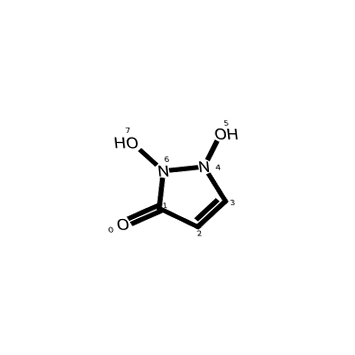 O=c1ccn(O)n1O